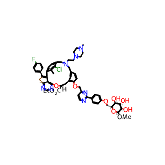 CCOC(=O)[C@H]1Cc2cc(ccc2OCc2ccnc(-c3ccc(OC[C@H]4O[C@H](OC)[C@H](O)[C@@H](O)[C@@H]4O)cc3)n2)CN(CCN2CCN(C)CC2)Cc2ccc(c(C)c2Cl)-c2c(-c3ccc(F)cc3)sc3ncnc(c23)O1